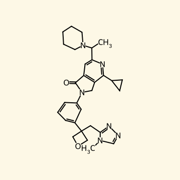 CC(c1cc2c(c(C3CC3)n1)CN(c1cccc(C3(Cc4nncn4C)COC3)c1)C2=O)N1CCCCC1